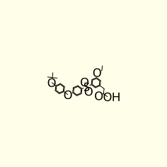 CCOc1cc(CC(=O)O)cc(S(=O)(=O)c2ccc(Oc3ccc(OC(C)(C)C)cc3)cc2)c1